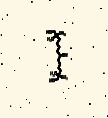 CC(C)(CO)CCCCC(O)CCCCC(C)(C)CO